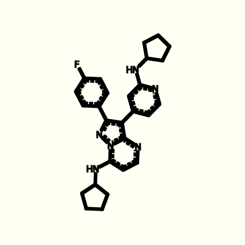 Fc1ccc(-c2nn3c(NC4CCCC4)ccnc3c2-c2ccnc(NC3CCCC3)c2)cc1